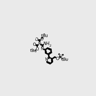 CC(C)(C)OC(=O)N(C(=O)OC(C)(C)C)C(N)=Nc1cccc(-c2ncccc2CO[Si](C)(C)C(C)(C)C)c1